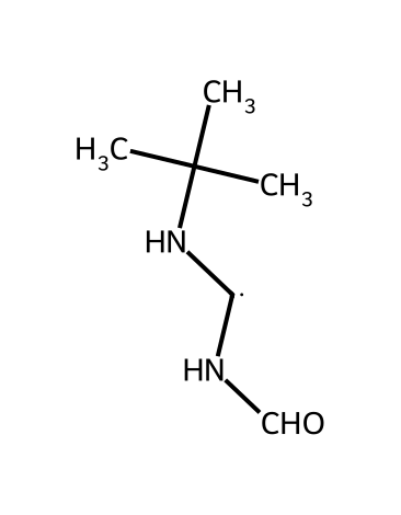 CC(C)(C)N[CH]NC=O